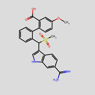 COc1ccc(-c2ccccc2C(c2c[nH]c3cc(C(=N)N)ccc23)S(C)(=O)=O)c(C(=O)O)c1